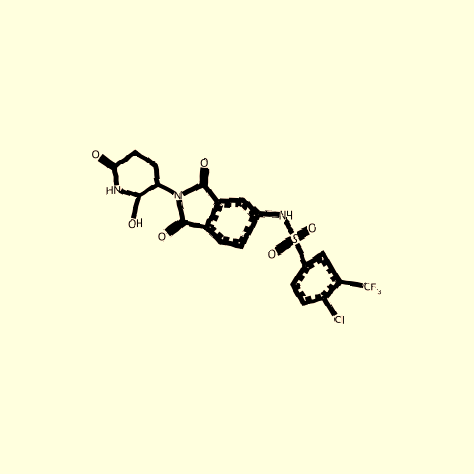 O=C1CCC(N2C(=O)c3ccc(NS(=O)(=O)c4ccc(Cl)c(C(F)(F)F)c4)cc3C2=O)C(O)N1